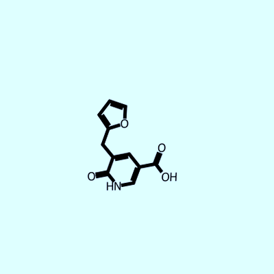 O=C(O)c1c[nH]c(=O)c(Cc2ccco2)c1